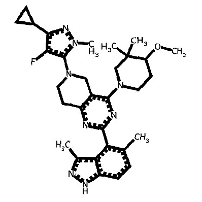 COC1CCN(c2nc(-c3c(C)ccc4[nH]nc(C)c34)nc3c2CN(c2c(F)c(C4CC4)nn2C)CC3)CC1(C)C